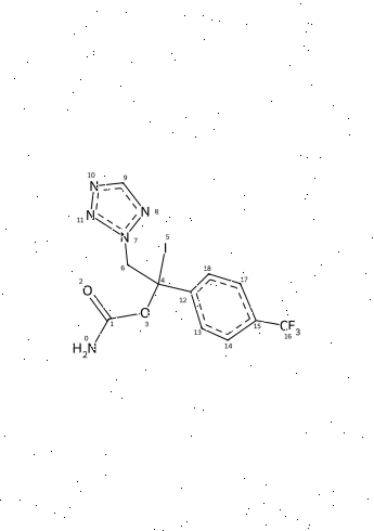 NC(=O)OC(I)(Cn1ncnn1)c1ccc(C(F)(F)F)cc1